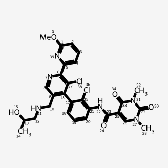 COc1cccc(-c2ncc(CNCC(C)O)c(-c3cccc(NC(=O)c4cn(C)c(=O)n(C)c4=O)c3Cl)c2Cl)n1